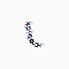 C[C@H](N)C1CCN(Cc2ccc(-n3ccc(NC(=O)N4CCN(C(=O)C(C)(C)N)[C@H](C)C4)nc3=O)cc2)CC1